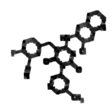 Cc1cncc(-n2c(=O)nc(Nc3cc4cccnc4cc3Cl)n(Cc3ccc(F)c(C#N)c3)c2=O)c1